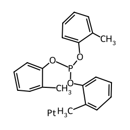 Cc1ccccc1OP(Oc1ccccc1C)Oc1ccccc1C.[Pt]